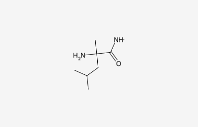 CC(C)CC(C)(N)C([NH])=O